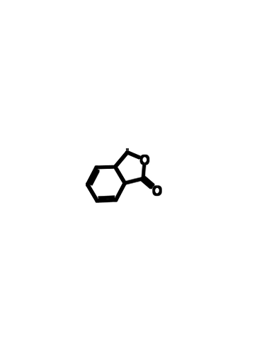 O=C1O[CH]C2C=CC=CC12